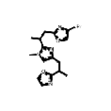 CC(C)c1coc(CC(C)c2nc(CC(C)c3ncco3)cn2C)n1